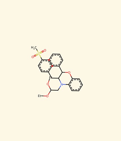 CCOC(CN1c2ccccc2OC(c2ccccc2)C1Cc1ccc(S(C)(=O)=O)cc1)OCC